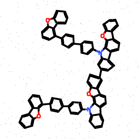 c1ccc2c(c1)oc1c(-c3ccc(-c4ccc(-n5c6ccccc6c6ccc7c8cc(-c9ccc%10c%11ccc%12c%13ccccc%13oc%12c%11n(-c%11ccc(-c%12ccc(-c%13cccc%14oc%15ccccc%15c%13%14)cc%12)cc%11)c%10c9)ccc8oc7c65)cc4)cc3)cccc12